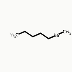 CCCC[CH2][Ba][CH3]